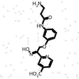 NCCC(=O)Nc1cccc(OC/C(=N\O)c2cc(C(=O)O)ccn2)c1